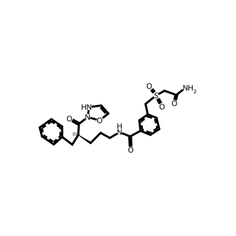 NC(=O)CS(=O)(=O)Cc1cccc(C(=O)NCCC[C@@H](Cc2ccccc2)C(=O)N2NC=CO2)c1